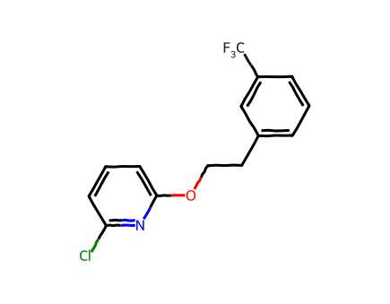 FC(F)(F)c1cccc(CCOc2cccc(Cl)n2)c1